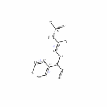 C=CC(C/C=C(\C)NC(=C)C)C(/C=C\C)=C/C